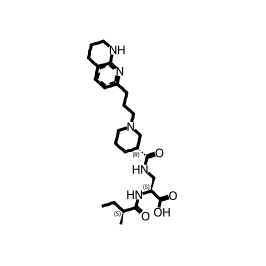 CC[C@H](C)C(=O)N[C@@H](CNC(=O)[C@@H]1CCCN(CCCc2ccc3c(n2)NCCC3)C1)C(=O)O